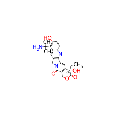 CC[C@@]1(O)C(=O)OCc2c1cc1n(c2=O)Cc2cc3c(C(C)(C)N)c(O)ccc3nc2-1